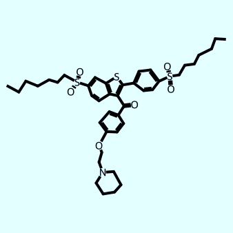 CCCCCCCS(=O)(=O)c1ccc(-c2sc3cc(S(=O)(=O)CCCCCCC)ccc3c2C(=O)c2ccc(OCCN3CCCCC3)cc2)cc1